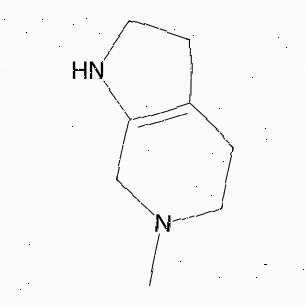 CN1CCC2=C(C1)NCC2